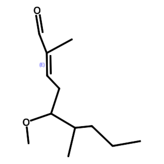 CCCC(C)C(C/C=C(\C)C=O)OC